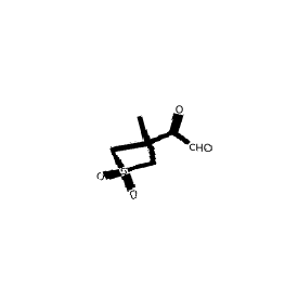 CC1(C(=O)C=O)CS(=O)(=O)C1